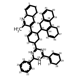 CC1=NC2C=CCCC2C=C1C1=CCC(C2=NC(c3ccccc3)NC(C3=CCCC=C3)=N2)CC1C1CC2=C(CCC=C2)C2=C1C=CCC2